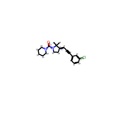 CC1(C)/C(=C/C#Cc2cccc(Cl)c2)CCN1C(=O)N1CCCCC1